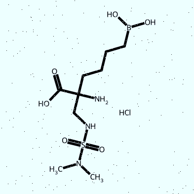 CN(C)S(=O)(=O)NCC(N)(CCCCB(O)O)C(=O)O.Cl